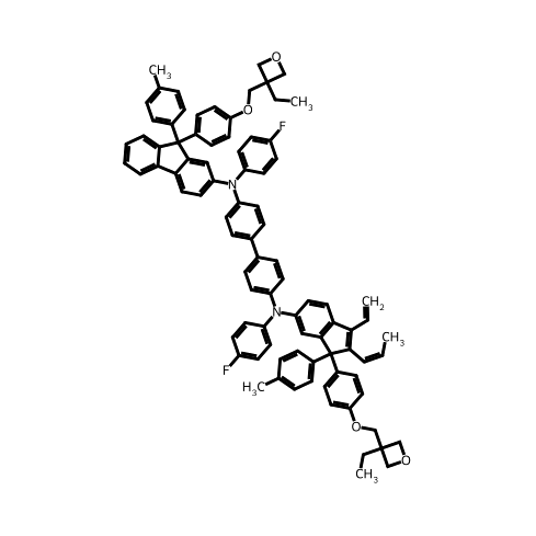 C=CC1=C(/C=C\C)C(c2ccc(C)cc2)(c2ccc(OCC3(CC)COC3)cc2)c2cc(N(c3ccc(F)cc3)c3ccc(-c4ccc(N(c5ccc(F)cc5)c5ccc6c(c5)C(c5ccc(C)cc5)(c5ccc(OCC7(CC)COC7)cc5)c5ccccc5-6)cc4)cc3)ccc21